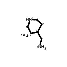 NCC1CCNCC1.[Au]